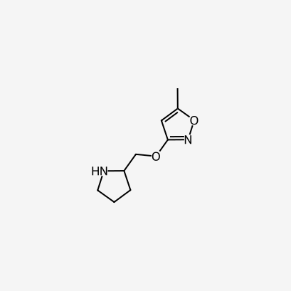 Cc1cc(OCC2CCCN2)no1